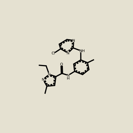 CCn1nc(C)cc1C(=O)Nc1ccc(C)c(Nc2nccc(Cl)n2)c1